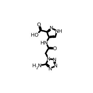 Nc1nnnn1CC(=O)Nc1c[nH]nc1C(=O)O